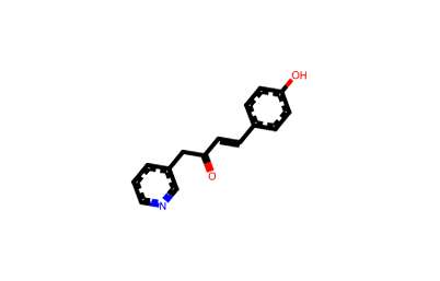 O=C(C=Cc1ccc(O)cc1)Cc1cccnc1